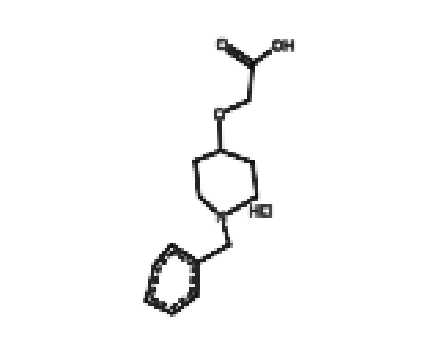 Cl.O=C(O)COC1CCN(Cc2ccccc2)CC1